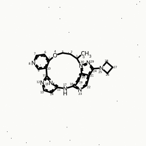 CC1CCOc2ccncc2-c2nccc(n2)Nc2cc3c(cn2)c(N2CCC2)nn31